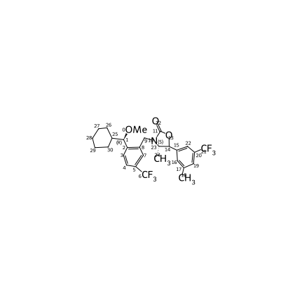 CO[C@@H](c1ccc(C(F)(F)F)cc1CN1C(=O)OC(c2cc(C)cc(C(F)(F)F)c2)[C@@H]1C)C1CCCCC1